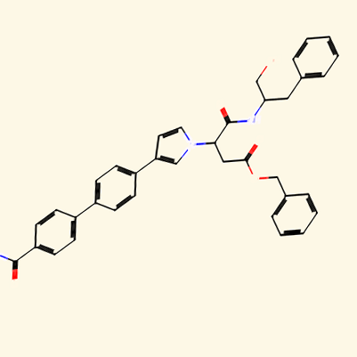 NC(=O)c1ccc(-c2ccc(-c3ccn(C(CC(=O)OCc4ccccc4)C(=O)NC(CO)Cc4ccccc4)c3)cc2)cc1